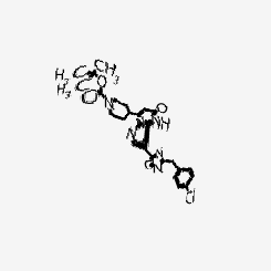 CC(C)(C)OC(=O)N1CCC(c2cc(=O)[nH]c3c(-c4nc(Cc5ccc(Cl)cc5)no4)cnn23)CC1